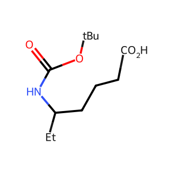 CCC(CCCC(=O)O)NC(=O)OC(C)(C)C